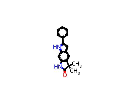 CC1(C)C(=O)Nc2cc3[nH]c(-c4ccccc4)cc3cc21